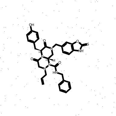 C=CCN1CC(=O)N2[C@@H](Cc3ccc(O)cc3)C(=O)N(Cc3ccc4[nH]c(=S)oc4c3)C[C@@H]2N1C(=O)NCc1ccccc1